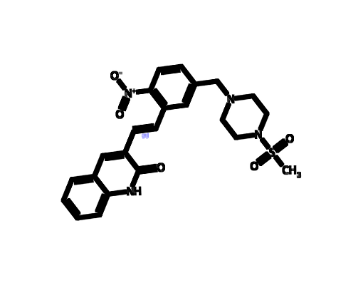 CS(=O)(=O)N1CCN(Cc2ccc([N+](=O)[O-])c(/C=C/c3cc4ccccc4[nH]c3=O)c2)CC1